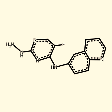 NNc1ncc(F)c(Nc2ccc3ncccc3c2)n1